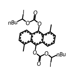 CCCCC(I)OC(=O)Oc1c2cccc(C)c2c(OC(=O)OC(I)CCCC)c2cccc(C)c12